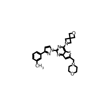 Cc1cccc(-c2ccn(-c3nc(N4CC5(COC5)C4)c4sc(CN5CCOCC5)cc4n3)n2)c1